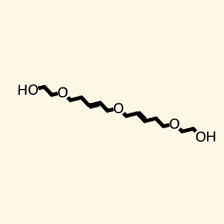 OCCOCCC=CCOCC=CCCOCCO